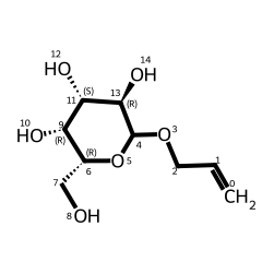 C=CCOC1O[C@H](CO)[C@H](O)[C@H](O)[C@H]1O